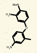 CNc1ccc(Oc2ccc(N)cc2C)cc1N